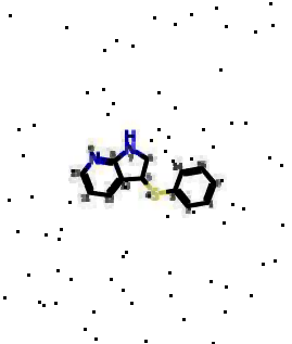 c1ccc(SC2CNc3ncccc32)cc1